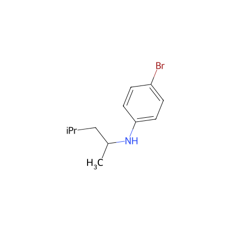 CC(C)CC(C)Nc1ccc(Br)cc1